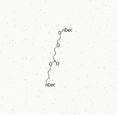 CCCCCCCCCCCCCCOC(=O)CCCOCCOCCCCCCCCCC